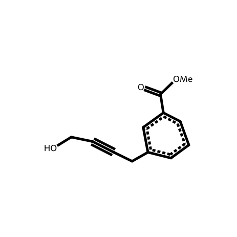 COC(=O)c1cccc(CC#CCO)c1